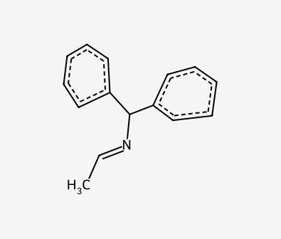 CC=NC(c1ccccc1)c1ccccc1